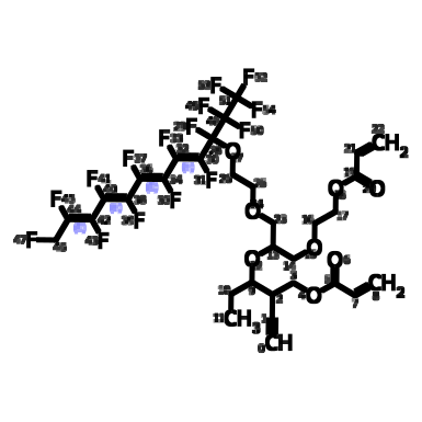 C#CC(COC(=O)C=C)C(CC)OC(COCCOC(=O)C=C)COCCOC(F)(/C(F)=C(F)/C(F)=C(F)/C(F)=C(F)/C(F)=C(\F)CF)C(F)(F)C(F)(F)F